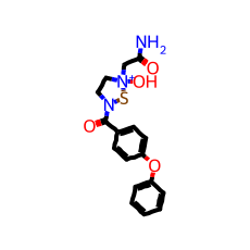 NC(=O)C[N+]1(O)CCN(C(=O)c2ccc(Oc3ccccc3)cc2)S1